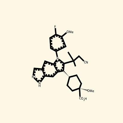 COc1cc(-n2c(C(C)(C)CC#N)c([C@H]3CC[C@](OC)(C(=O)O)CC3)c3cc4[nH]ncc4cc32)ccc1F